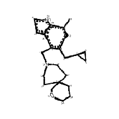 Cc1cc(CC2CC2)c(CN2CCC3(CCCO3)CC2)c2cc[nH]c12